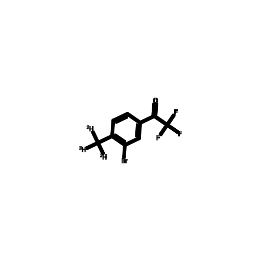 [2H]C([2H])([2H])c1ccc(C(=O)C(F)(F)F)cc1Br